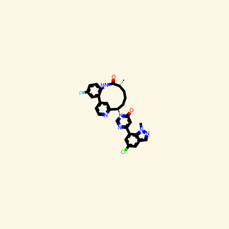 C[C@@H]1CCC[C@H](n2cnc(-c3cc(Cl)cc4cnn(C)c34)cc2=O)c2cc(ccn2)-c2cc(F)ccc2NC1=O